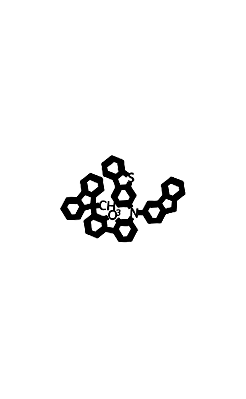 CC1(c2cccc3c2oc2c(N(c4ccc5c(c4)-c4ccccc4C5)c4ccc5c(c4)sc4ccccc45)cccc23)c2ccccc2-c2ccccc21